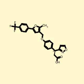 Cc1oc(-c2ccc(C(F)(F)F)cc2)cc1COc1ccc([C@H](CC(=O)O)c2ccon2)cc1